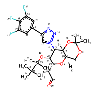 CC1(C)OC[C@H]2O[C@H](CC=O)[C@H](O[Si](C)(C)C(C)(C)C)[C@@H](n3cc(-c4cc(F)c(F)c(F)c4)nn3)[C@H]2O1